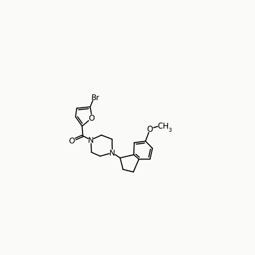 COc1ccc2c(c1)C(N1CCN(C(=O)c3ccc(Br)o3)CC1)CC2